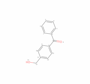 O=C(c1ccccc1)c1ccc(CO)cc1